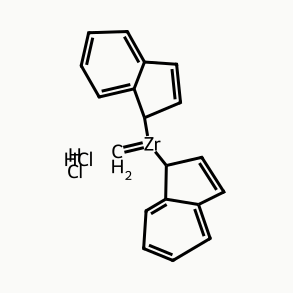 Cl.Cl.[CH2]=[Zr]([CH]1C=Cc2ccccc21)[CH]1C=Cc2ccccc21